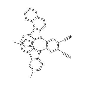 Cc1ccc2c(c1)c1cc(C)ccc1n2-c1cc(C#N)c(C#N)cc1-n1c2ccccc2c2c3ccccc3ccc21